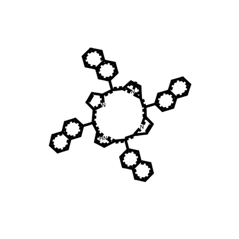 Cn1c2ccc1c(-c1ccc3ccccc3c1)c1nc(c(-c3ccc4ccccc4c3)c3ccc([nH]3)c(-c3ccc4ccccc4c3)c3nc(c2-c2ccc4ccccc4c2)C=C3)C=C1